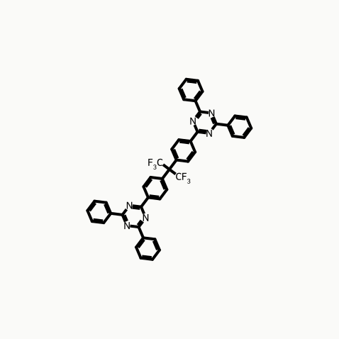 FC(F)(F)C(c1ccc(-c2nc(-c3ccccc3)nc(-c3ccccc3)n2)cc1)(c1ccc(-c2nc(-c3ccccc3)nc(-c3ccccc3)n2)cc1)C(F)(F)F